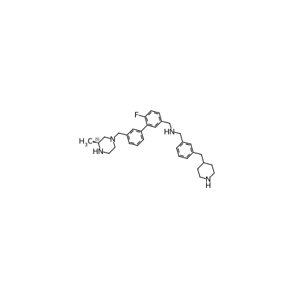 C[C@H]1CN(Cc2cccc(-c3cc(CNCc4cccc(CC5CCNCC5)c4)ccc3F)c2)CCN1